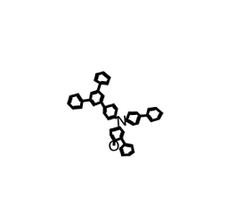 c1ccc(-c2ccc(N(c3ccc(-c4cc(-c5ccccc5)cc(-c5ccccc5)c4)cc3)c3ccc4oc5ccccc5c4c3)cc2)cc1